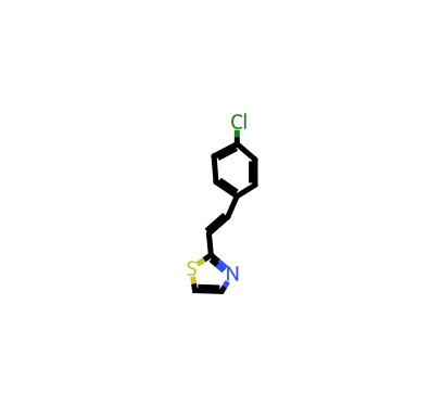 Clc1ccc(/C=C/c2nccs2)cc1